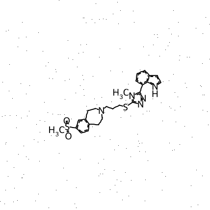 Cn1c(SCCCN2CCc3ccc(S(C)(=O)=O)cc3CC2)nnc1-c1cccc2cc[nH]c12